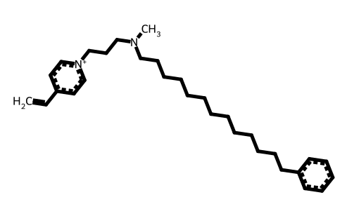 C=Cc1cc[n+](CCCN(C)CCCCCCCCCCCCCc2ccccc2)cc1